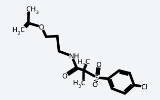 C=C(C)OCCCNC(=O)C(C)(C)S(=O)(=O)c1ccc(Cl)cc1